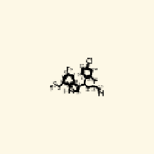 CSCc1cc(F)cc2c(C(CCC#N)c3ccc(Cl)cc3F)c[nH]c12